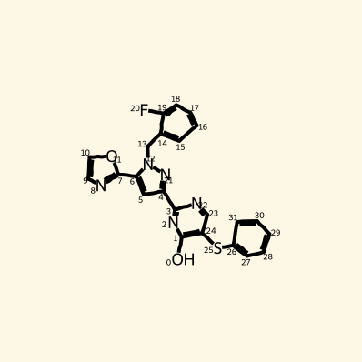 Oc1nc(-c2cc(-c3ncco3)n(Cc3ccccc3F)n2)ncc1Sc1ccccc1